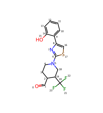 O=CC1CCN(c2nc(-c3ccccc3O)cs2)CC1C(F)(F)F